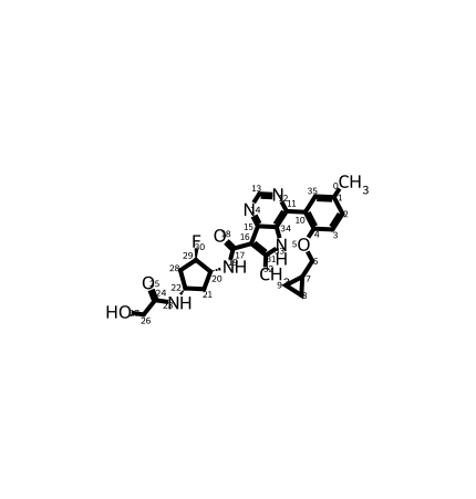 Cc1ccc(OCC2CC2)c(-c2ncnc3c(C(=O)N[C@@H]4C[C@H](NC(=O)CO)C[C@H]4F)c(C)[nH]c23)c1